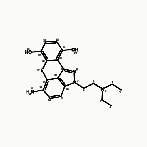 CCN(CC)CCn1nc2c3c(c(N)ccc31)Sc1c(O)ccc(O)c1-2